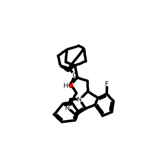 OC(CC1c2c(F)cccc2-c2cncn21)C12CC3CC(C1)C(OCCc1ccccc1)C(C3)C2